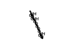 C/C=N/OCC(=O)NCCOCCOCCOCCOCCOCCNC(=O)COCC(=O)NCCCC